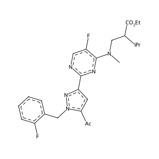 CCOC(=O)C(CN(C)c1nc(-c2cc(C(C)=O)n(Cc3ccccc3F)n2)ncc1F)C(C)C